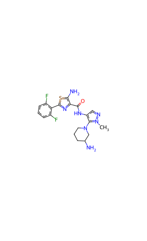 Cn1ncc(NC(=O)c2nc(-c3c(F)cccc3F)sc2N)c1N1CCCC(N)C1